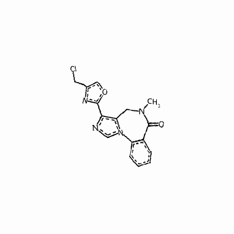 CN1Cc2c(-c3nc(CCl)co3)ncn2-c2ccccc2C1=O